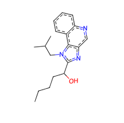 CCCCC(O)c1nc2cnc3ccccc3c2n1CC(C)C